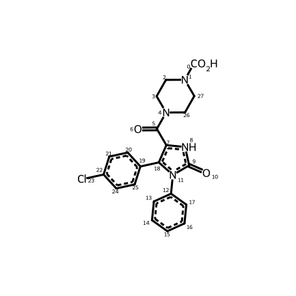 O=C(O)N1CCN(C(=O)c2[nH]c(=O)n(-c3ccccc3)c2-c2ccc(Cl)cc2)CC1